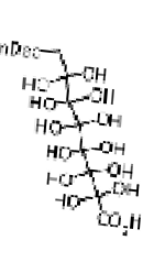 CCCCCCCCCCCC(O)(O)C(O)(O)C(O)(O)C(O)(O)C(O)(O)C(O)(O)C(=O)O